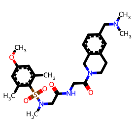 COc1cc(C)c(S(=O)(=O)N(C)CC(=O)NCC(=O)N2CCc3cc(CN(C)C)ccc3C2)c(C)c1